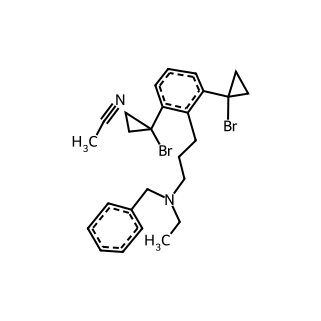 CC#N.CCN(CCCc1c(C2(Br)CC2)cccc1C1(Br)CC1)Cc1ccccc1